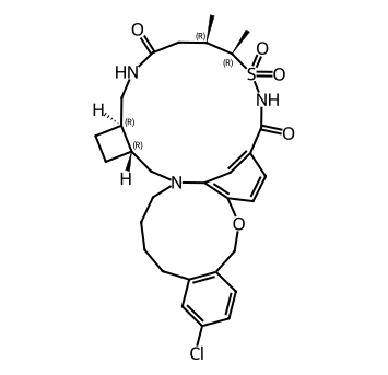 C[C@@H]1CC(=O)NC[C@@H]2CC[C@H]2CN2CCCCc3cc(Cl)ccc3COc3ccc(cc32)C(=O)NS(=O)(=O)[C@@H]1C